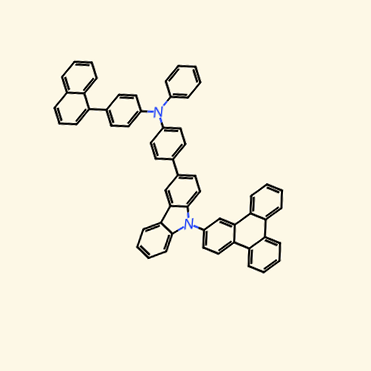 c1ccc(N(c2ccc(-c3ccc4c(c3)c3ccccc3n4-c3ccc4c5ccccc5c5ccccc5c4c3)cc2)c2ccc(-c3cccc4ccccc34)cc2)cc1